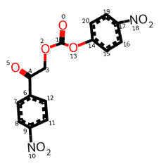 O=C(OCC(=O)c1ccc([N+](=O)[O-])cc1)Oc1ccc([N+](=O)[O-])cc1